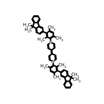 Cc1cc(C)c(N2C=CC(=C3C=CN(c4c(C)cc(C)c(-c5ccc6c(c5)-c5ccccc5C6(C)C)c4C)C=C3)C=C2)c(C)c1-c1ccc2c(c1)-c1ccccc1C2(C)C